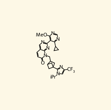 COc1ncnc(C2CC2)c1-c1ncc2ccc(=O)n(CC3CC4(c5nc(C(F)(F)F)cn5C(C)C)CC3C4)c2n1